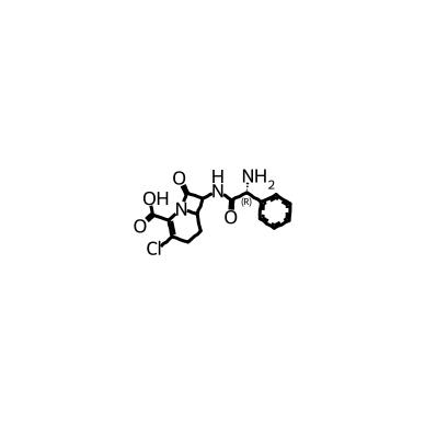 N[C@@H](C(=O)NC1C(=O)N2C(C(=O)O)=C(Cl)CCC12)c1ccccc1